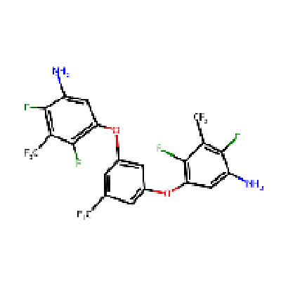 Nc1cc(Oc2cc(Oc3cc(N)c(F)c(C(F)(F)F)c3F)cc(C(F)(F)F)c2)c(F)c(C(F)(F)F)c1F